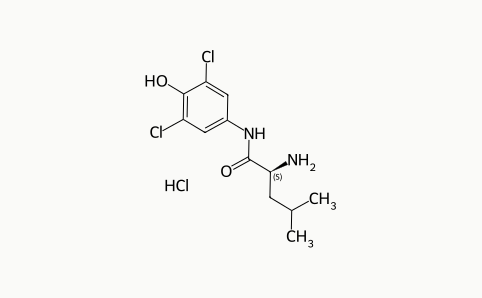 CC(C)C[C@H](N)C(=O)Nc1cc(Cl)c(O)c(Cl)c1.Cl